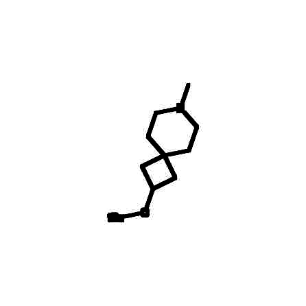 CN1CCC2(CC1)CC(OC(C)(C)C)C2